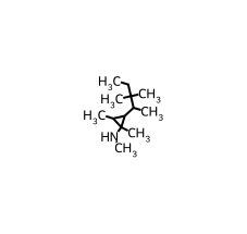 CCC(C)(C)C(C)C1C(C)C1(C)NC